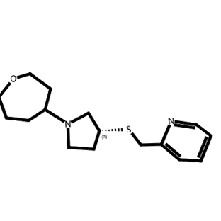 c1ccc(CS[C@@H]2CCN(C3CCCOCC3)C2)nc1